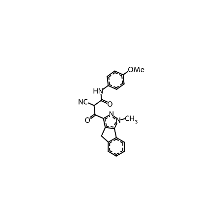 COc1ccc(NC(=O)C(C#N)C(=O)c2nn(C)c3c2Cc2ccccc2-3)cc1